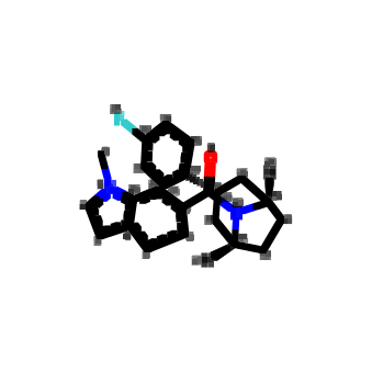 Cn1ccc2ccc(C(=O)N3[C@@H]4CC[C@H]3C[C@@H](c3ccc(F)cc3)C4)cc21